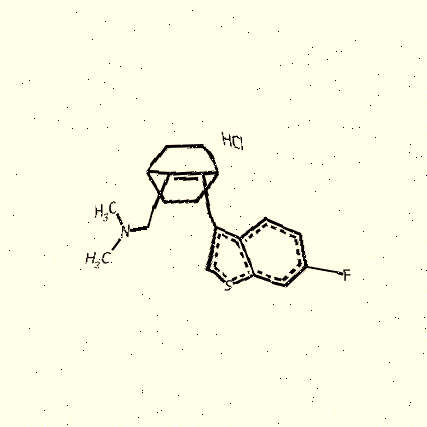 CN(C)CC1=C(c2csc3cc(F)ccc23)C2CCC1CC2.Cl